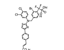 O=C(O)C=Cc1ccc(-c2csc(N(Cc3ccc(C(F)(F)P(=O)(O)O)c(Br)c3)c3ccc(Cl)c(Cl)c3)n2)cc1